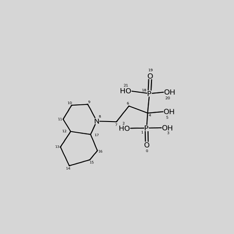 O=P(O)(O)C(O)(CCN1CCCC2CCCCC21)P(=O)(O)O